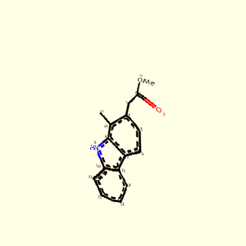 COC(=O)Cc1ccc2c([nH]c3ccccc32)c1C